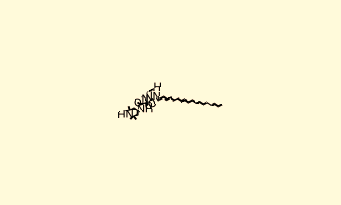 CCCCCCCCCCCCCCCCCCNC(=O)N(CC)N(C)C(=O)C(=O)NC1CC(C)(C)NC(C)(C)C1